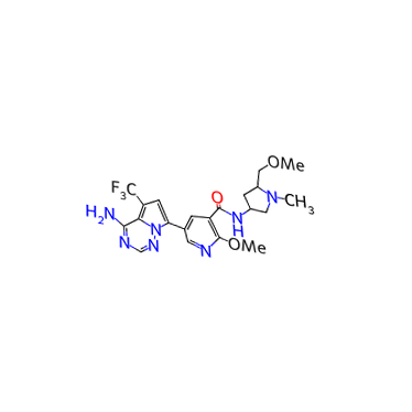 COCC1CC(NC(=O)c2cc(-c3cc(C(F)(F)F)c4c(N)ncnn34)cnc2OC)CN1C